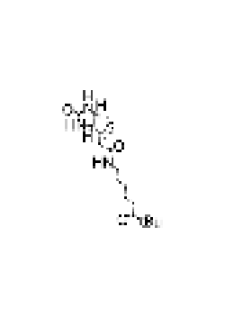 CC(C)(C)C(=O)CCCCCNC(=O)C[C@@H]1SC[C@@H]2NC(=O)N[C@@H]21